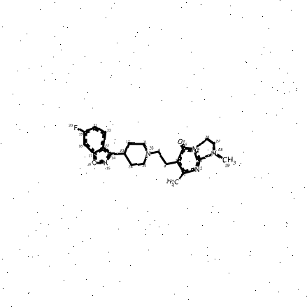 Cc1nc2n(c(=O)c1CCN1CCC(c3noc4cc(F)ccc34)CC1)CCN2C